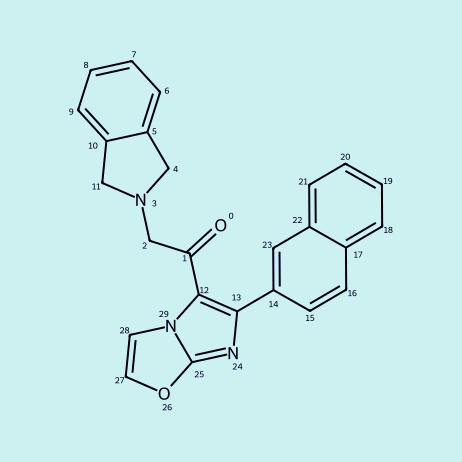 O=C(CN1Cc2ccccc2C1)c1c(-c2ccc3ccccc3c2)nc2occn12